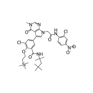 Cn1cnc2c(c(-c3cc(Cl)c(OCC[Si](C)(C)C)c(C(=O)NC(C)(C)CC(C)(C)C)c3)cn2CC(=O)Nc2ccc([N+](=O)[O-])cc2Cl)c1=O